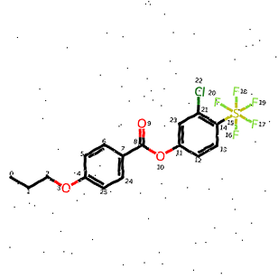 CCCOc1ccc(C(=O)Oc2ccc(S(F)(F)(F)(F)F)c(Cl)c2)cc1